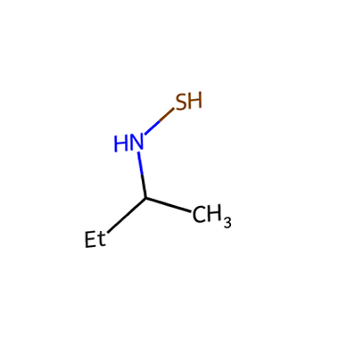 CCC(C)NS